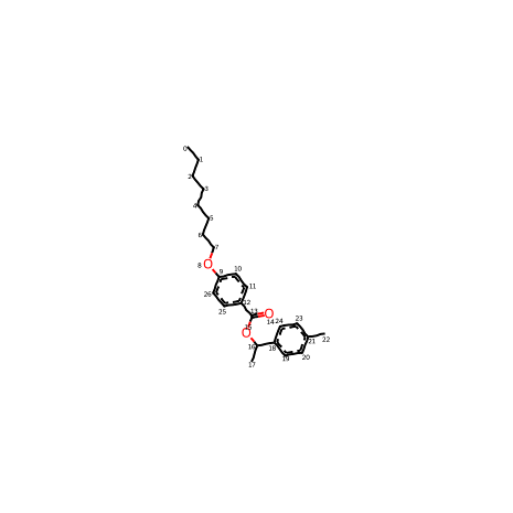 CCCCCCCCOc1ccc(C(=O)OC(C)c2ccc(C)cc2)cc1